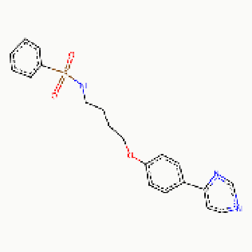 O=S(=O)(NCCCCOc1ccc(-c2ccncn2)cc1)c1ccccc1